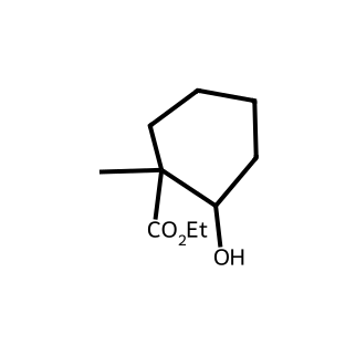 CCOC(=O)C1(C)CCCCC1O